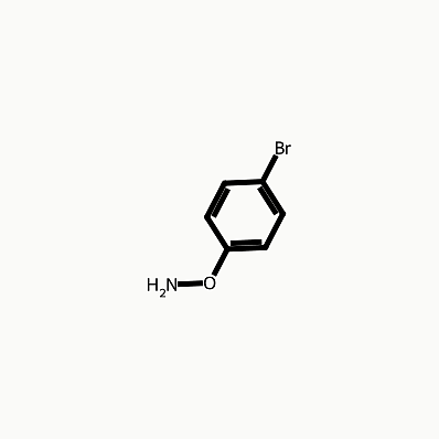 NOc1ccc(Br)cc1